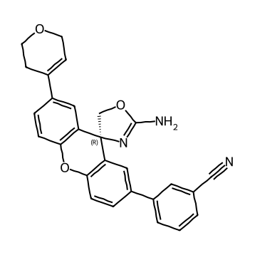 N#Cc1cccc(-c2ccc3c(c2)[C@@]2(COC(N)=N2)c2cc(C4=CCOCC4)ccc2O3)c1